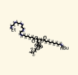 CC/C=C\C/C=C\C/C=C\C/C=C\C/C=C\CCCCCC(=O)O[C@H](COC(=O)CCCCCCC/C=C\CCCC)COP(=O)([O-])OCC[N+](C)(C)C